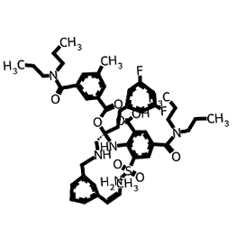 C/C=C\c1cccc(CNC[C@](CCc2cc(F)cc(F)c2)(Nc2c(C(=O)O)cc(C(=O)N(CCC)CCC)cc2S(N)(=O)=O)OC(=O)c2cc(C)cc(C(=O)N(CCC)CCC)c2)c1